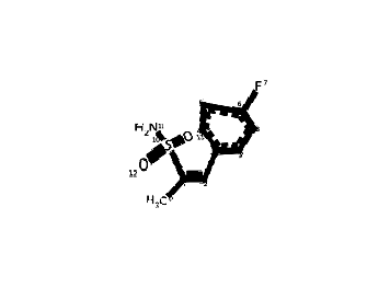 CC(=Cc1ccc(F)cc1)S(N)(=O)=O